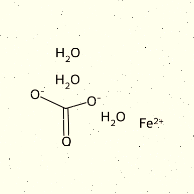 O.O.O.O=C([O-])[O-].[Fe+2]